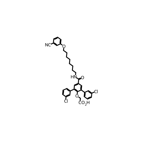 N#Cc1cccc(OCCCCCCCCNC(=O)c2cc(-c3cccc(Cl)c3)c(OCC(=O)O)c(-c3cccc(Cl)c3)c2)c1